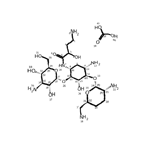 NCCC(O)C(=O)N[C@@H]1C[C@H](N)[C@@H](O[C@H]2O[C@H](CN)CC[C@H]2N)[C@H](O)[C@H]1O[C@H]1O[C@H](CO)[C@@H](O)[C@H](N)[C@H]1O.O=C(O)O